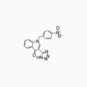 O=c1c(-c2nnn[nH]2)cn(Cc2ccc([N+](=O)[O-])cc2)c2ccccc12